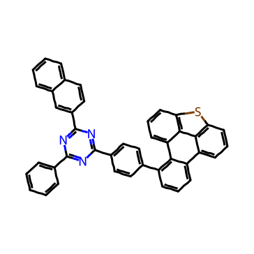 c1ccc(-c2nc(-c3ccc(-c4cccc5c6cccc7sc8cccc(c45)c8c76)cc3)nc(-c3ccc4ccccc4c3)n2)cc1